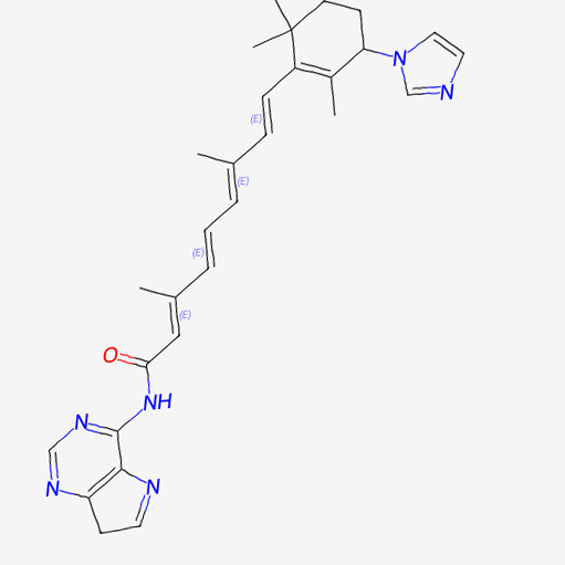 CC1=C(/C=C/C(C)=C/C=C/C(C)=C/C(=O)Nc2ncnc3c2N=CC3)C(C)(C)CCC1n1ccnc1